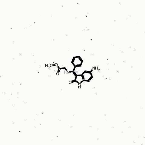 COC(=O)CN/C(=C1\C(=O)Nc2ccc(N)cc21)c1ccccc1